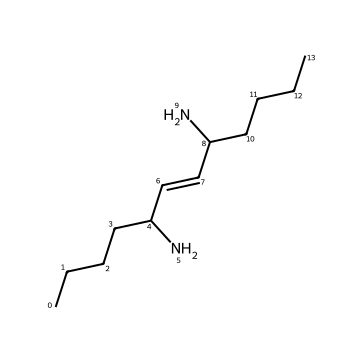 CCCCC(N)C=CC(N)CCCC